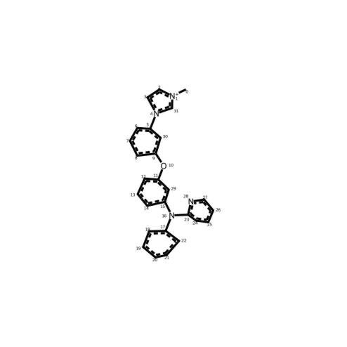 C[n+]1ccn(-c2cccc(Oc3cccc(N(c4ccccc4)c4ccccn4)c3)c2)c1